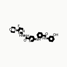 O=C(Nc1cccc(O)c1)c1cccc(Nc2ccc(C(=O)NNc3ncc(F)c(N4CCOCC4)n3)nc2)c1